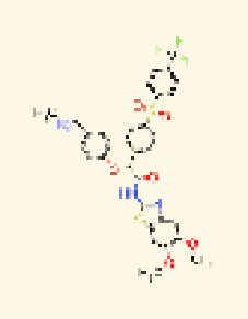 C/N=C/c1ccc(OC(C(=O)Nc2nc3cc(OC)c(OC)cc3s2)c2ccc(S(=O)(=O)c3ccc(C(F)(F)F)cc3)cc2)cc1